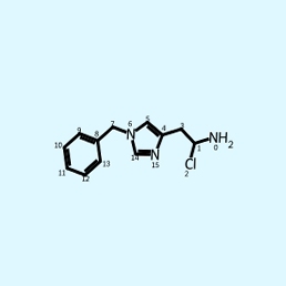 NC(Cl)Cc1cn(Cc2ccccc2)cn1